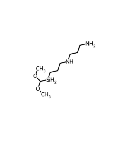 COC(OC)[SiH2]CCCNCCCN